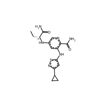 CC[C@@H](Nc1cnc(C(N)=O)c(Nc2cc(C3CC3)ns2)c1)C(N)=O